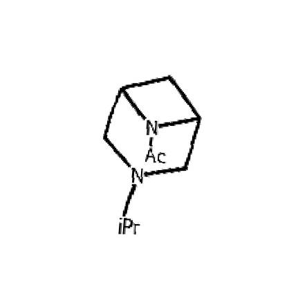 CC(=O)N1C2CC1CN(C(C)C)C2